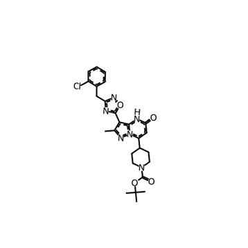 Cc1nn2c(C3CCN(C(=O)OC(C)(C)C)CC3)cc(=O)[nH]c2c1-c1nc(Cc2ccccc2Cl)no1